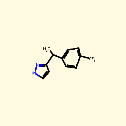 CC(c1ccc(C(F)(F)F)cc1)c1cc[nH]n1